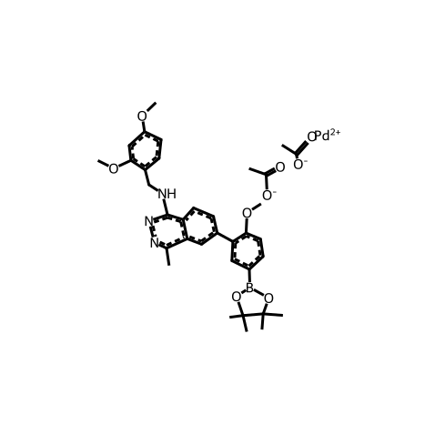 CC(=O)[O-].CC(=O)[O-].COc1ccc(CNc2nnc(C)c3cc(-c4cc(B5OC(C)(C)C(C)(C)O5)ccc4OC)ccc23)c(OC)c1.[Pd+2]